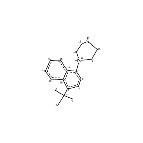 CC(C)(C)c1ccc([SH]2CCSCC2)c2ccccc12